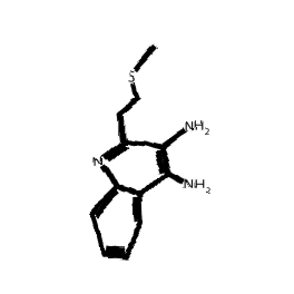 CSCCc1nc2ccccc2c(N)c1N